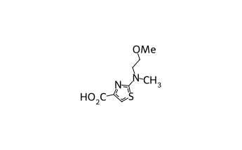 COCCN(C)c1nc(C(=O)O)cs1